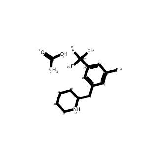 CC(=O)O.Fc1cc(CC2CCCCN2)cc(C(F)(F)F)c1